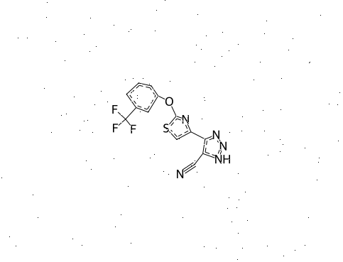 N#Cc1[nH]nnc1-c1csc(Oc2cccc(C(F)(F)F)c2)n1